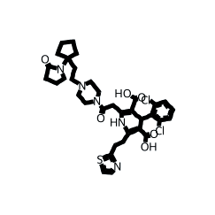 O=C(O)C1=C(CCc2nccs2)NC(CC(=O)N2CCN(CCC3(N4CCCC4=O)CCCC3)CC2)=C(C(=O)O)C1c1c(Cl)cccc1Cl